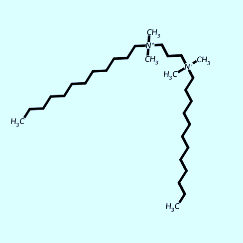 CCCCCCCCCCCC[N+](C)(C)CCC[N+](C)(C)CCCCCCCCCCCC